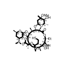 CC[C@H]1OC(=O)[C@H](C)[C@@H](O[C@H]2C[C@@](C)(OC)[C@@H](O)[C@H](C)O2)[C@H](C)[C@@H](O[C@@H]2O[C@H](C)C[C@H](N(C)C)[C@H]2OC(=O)[C@@H](C)OC(=O)[C@H](CS)NC(C)=O)[C@](C)(O)C[C@@H](C)CN(C)[C@H](C)[C@@H](O)[C@]1(C)O